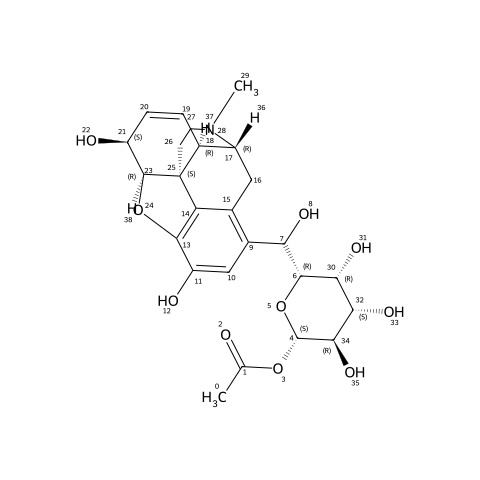 CC(=O)O[C@@H]1O[C@H](C(O)c2cc(O)c3c4c2C[C@@H]2[C@@H]5C=C[C@H](O)[C@H](O3)[C@]45CCN2C)[C@H](O)[C@H](O)[C@H]1O